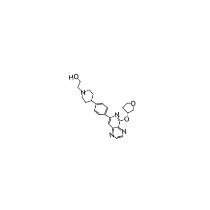 OCCN1CCC(c2ccc(-c3cc4nccnc4c(O[C@@H]4CCOC4)n3)cc2)CC1